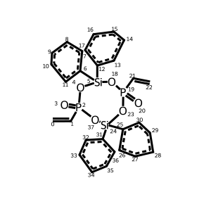 C=CP1(=O)O[Si](c2ccccc2)(c2ccccc2)OP(=O)(C=C)O[Si](c2ccccc2)(c2ccccc2)O1